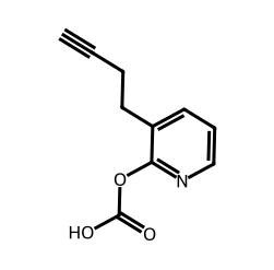 C#CCCc1cccnc1OC(=O)O